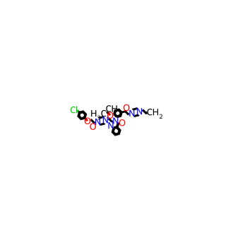 C=CCN1CCN(CC(=O)c2ccc(OC(C)C)c(-n3c(CN4CCN(C(=O)COc5ccc(Cl)cc5)CC4)nc4ccccc4c3=O)c2)CC1